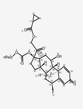 CCCCCOC(=O)O[C@]1(C(=O)COC(=O)C2CC2)CC[C@H]2[C@@H]3C[C@H](F)C4=CC(=O)C=C[C@]4(C)[C@H]3C(O)C[C@@]21C